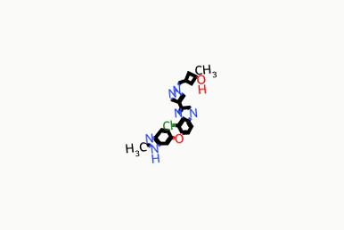 Cc1nc2ccc(Oc3ccc4ncc(-c5cnn(CC6CC(C)(O)C6)c5)nc4c3Cl)cc2[nH]1